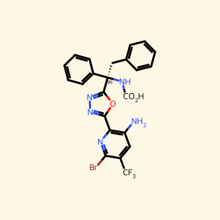 Nc1cc(C(F)(F)F)c(Br)nc1-c1nnc([C@](Cc2ccccc2)(NC(=O)O)c2ccccc2)o1